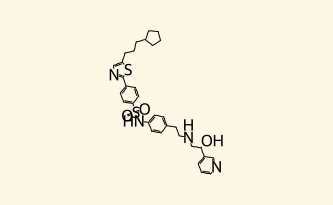 O=S(=O)(Nc1ccc(CCNCC(O)c2cccnc2)cc1)c1ccc(-c2ncc(CCCC3CCCC3)s2)cc1